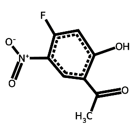 CC(=O)c1cc([N+](=O)[O-])c(F)cc1O